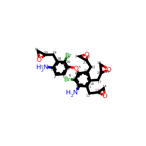 Nc1ccc(Oc2c(Br)c(N)c(CC3CO3)c(CC3CO3)c2CC2CO2)c(Br)c1CC1CO1